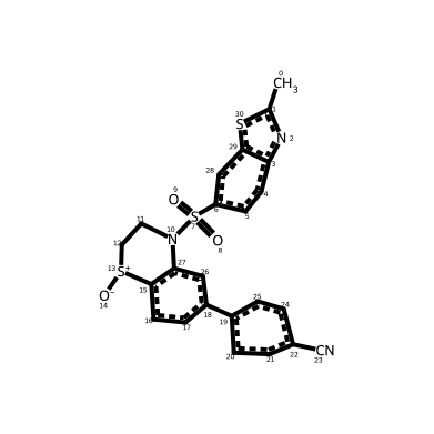 Cc1nc2ccc(S(=O)(=O)N3CC[S+]([O-])c4ccc(-c5ccc(C#N)cc5)cc43)cc2s1